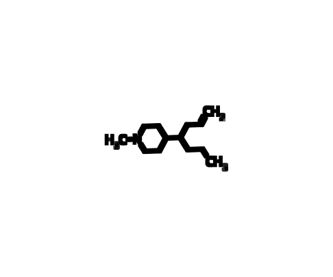 C=CCC(CCC)C1CCN(C)CC1